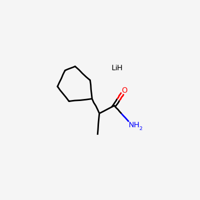 CC(C(N)=O)C1CCCCC1.[LiH]